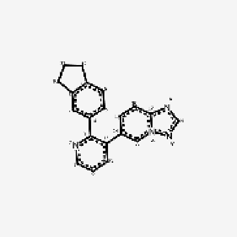 c1cnc(-c2ccc3c(c2)CCC3)c(-c2ccc3ncnn3c2)c1